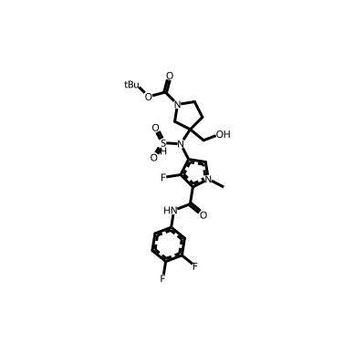 Cn1cc(N([SH](=O)=O)C2(CO)CCN(C(=O)OC(C)(C)C)C2)c(F)c1C(=O)Nc1ccc(F)c(F)c1